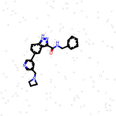 O=C(NCc1ccccc1)c1n[nH]c2ccc(-c3cncc(CN4CCC4)c3)cc12